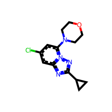 Clc1cc(N2CCOCC2)n2nc(C3CC3)nc2c1